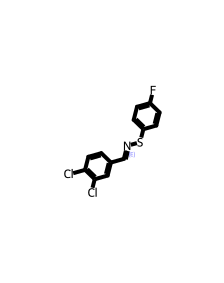 Fc1ccc(S/N=C/c2ccc(Cl)c(Cl)c2)cc1